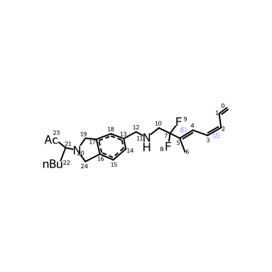 C=C/C=C\C=C(/C)C(F)(F)CNCc1ccc2c(c1)CN(C(CCCC)C(C)=O)C2